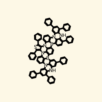 c1ccc(-c2cc3c4c(c2)B2c5ccc6c7c5N(c5cccc(c52)N4c2cc(-c4ccccc4)cc(-c4ccccc4)c2N3)c2c(-c3ccccc3)sc(-c3ccccc3)c2N7c2cccc3c2B6c2ccc(-c4ccccc4)c4c2N3c2cc(-c3ccccc3)cc(-c3ccccc3)c2N4)cc1